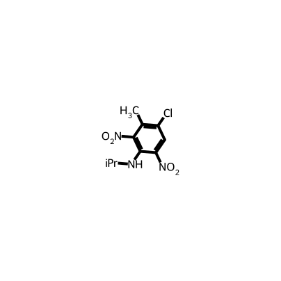 Cc1c(Cl)cc([N+](=O)[O-])c(NC(C)C)c1[N+](=O)[O-]